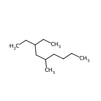 [CH2]CC(CC)CC(C)CCCC